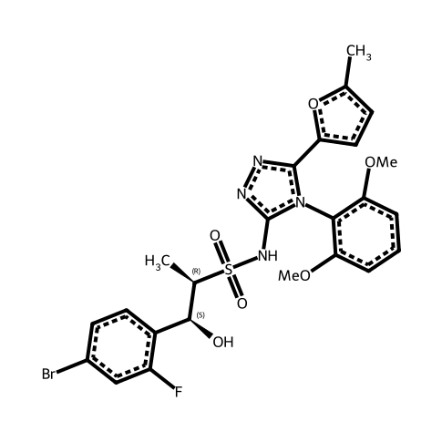 COc1cccc(OC)c1-n1c(NS(=O)(=O)[C@H](C)[C@@H](O)c2ccc(Br)cc2F)nnc1-c1ccc(C)o1